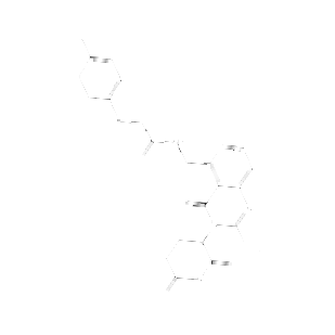 Cc1nc2cccc(CNC(=O)CNC3=CC=C(Cl)CC3)c2c(=O)n1C1CCC(=O)NC1=O